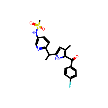 Cc1cc(C(C)c2ccc(NS(C)(=O)=O)cn2)[nH]c1C(=O)c1ccc(F)cc1